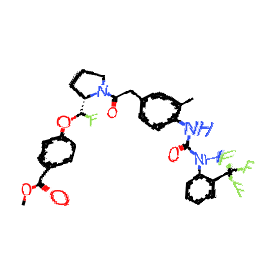 COC(=O)c1ccc(OC(F)[C@@H]2CCCN2C(=O)Cc2ccc(NC(=O)Nc3ccccc3C(F)(F)F)c(C)c2)cc1